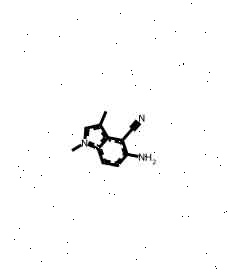 Cc1cn(C)c2ccc(N)c(C#N)c12